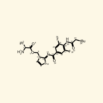 CC(C)[C@H](N)C(=O)OCn1ccsc1=NC(=O)c1cc(F)c(NC(=O)CC(C)(C)C)c(F)c1